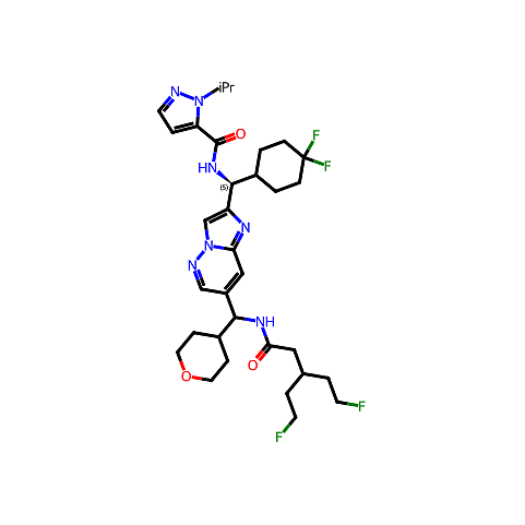 CC(C)n1nccc1C(=O)N[C@H](c1cn2ncc(C(NC(=O)CC(CCF)CCF)C3CCOCC3)cc2n1)C1CCC(F)(F)CC1